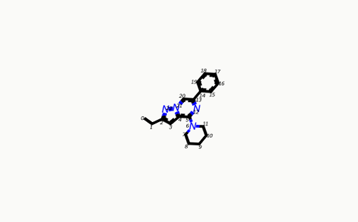 CCc1cc2c(N3CCCCC3)nc(-c3ccccc3)cn2n1